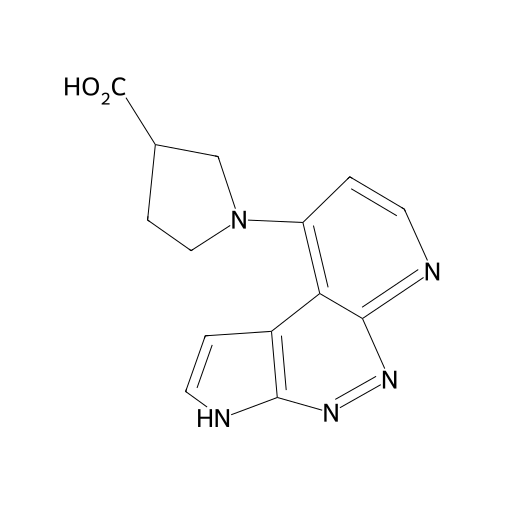 O=C(O)C1CCN(c2ccnc3nnc4[nH]ccc4c23)C1